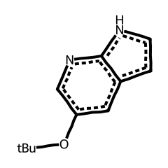 CC(C)(C)Oc1cnc2[nH]ccc2c1